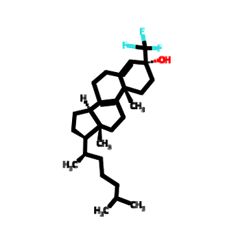 CC(C)CCC[C@@H](C)[C@H]1CC[C@H]2C3=C(CC[C@]12C)[C@@]1(C)CC[C@](O)(C(F)(F)F)C=C1CC3